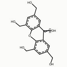 OCc1cc(CO)c(Oc2c(CO)cc(CO)cc2CO)c(CO)c1